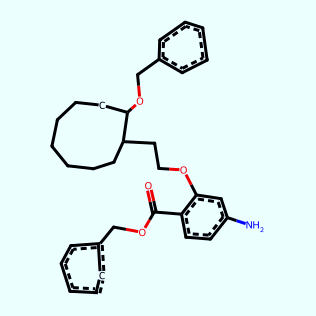 Nc1ccc(C(=O)OCc2ccccc2)c(OCCC2CCCCCCCC2OCc2ccccc2)c1